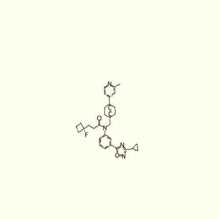 Cc1cc(C23CCC(CN(C(=O)CCC4(F)CCC4)c4cccc(-c5nc(C6CC6)no5)c4)(CC2)CC3)ccn1